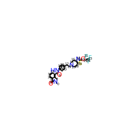 CN1Cc2c(C(=O)NC34CCC(CCN5CCc6nc(OCC(F)(F)F)sc6CC5)(CC3)CC4)cccc2C1=O